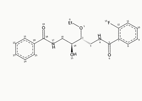 CCO[C@H](CNC(=O)c1ccccc1F)[C@@H](O)CNC(=O)c1ccccc1